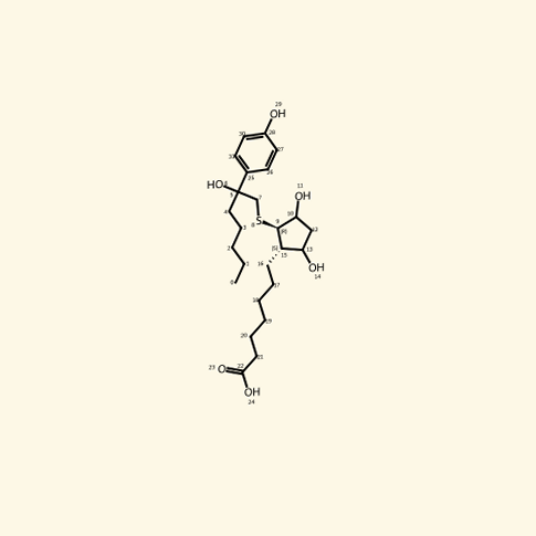 CCCCCC(O)(CS[C@H]1C(O)CC(O)[C@@H]1CCCCCCC(=O)O)c1ccc(O)cc1